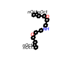 CCCCCCCCC1(CCCCCCCC)c2ccccc2-c2ccc(-c3ccc4oc5ccc(-c6ccc(Nc7ccc(-c8ccc9oc%10ccc(-c%11ccc%12c(c%11)C(CCCCCCCC)(CCCCCCCC)c%11ccccc%11-%12)cc%10c9c8)cc7)cc6)cc5c4c3)cc21